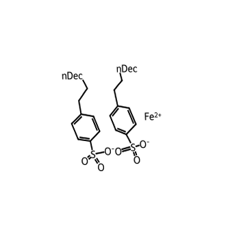 CCCCCCCCCCCCc1ccc(S(=O)(=O)[O-])cc1.CCCCCCCCCCCCc1ccc(S(=O)(=O)[O-])cc1.[Fe+2]